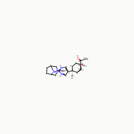 CCN1CC2CCC(C1)N2c1ncc([C@H]2CC3CCC2C[C@H]3C(=O)C(C)C)cn1